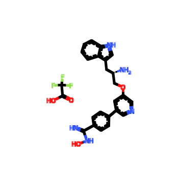 N=C(NO)c1ccc(-c2cncc(OC[C@@H](N)Cc3c[nH]c4ccccc34)c2)cc1.O=C(O)C(F)(F)F